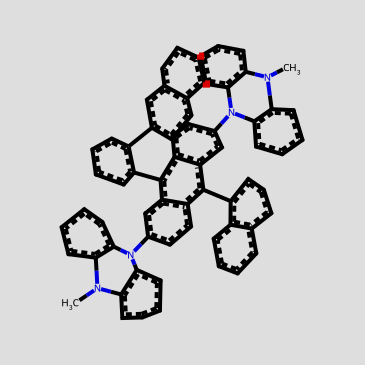 CN1c2ccccc2N(c2ccc3c(-c4cccc5ccccc45)c4cc(N5c6ccccc6N(C)c6ccccc65)ccc4c(-c4ccccc4-c4ccc5ccccc5c4)c3c2)c2ccccc21